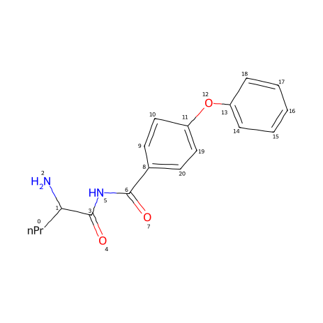 CCCC(N)C(=O)NC(=O)c1ccc(Oc2ccccc2)cc1